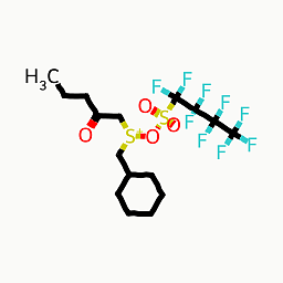 CCCC(=O)C[S+](CC1CCCCC1)OS(=O)(=O)C(F)(F)C(F)(F)C(F)(F)C(F)(F)F